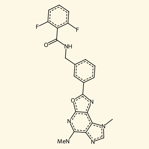 CNc1nc2oc(-c3cccc(CNC(=O)c4c(F)cccc4F)c3)nc2c2c1ncn2C